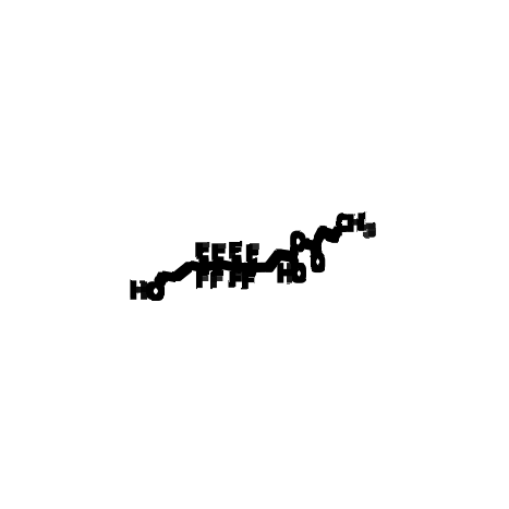 CC=CC(=O)OC(O)CCC(F)(F)C(F)(F)C(F)(F)C(F)(F)CCCO